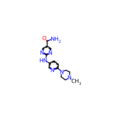 CN1CCN(c2ccc(Nc3ncc(C(N)=O)cn3)cn2)CC1